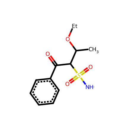 CCOC(C)C(C(=O)c1ccccc1)S([NH])(=O)=O